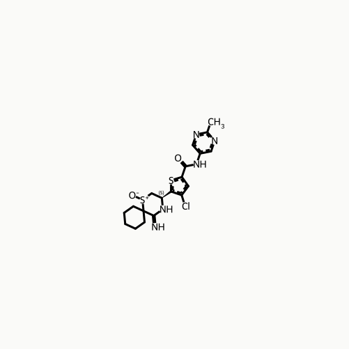 Cc1ncc(NC(=O)c2cc(Cl)c([C@@H]3C[S+]([O-])C4(CCCCC4)C(=N)N3)s2)cn1